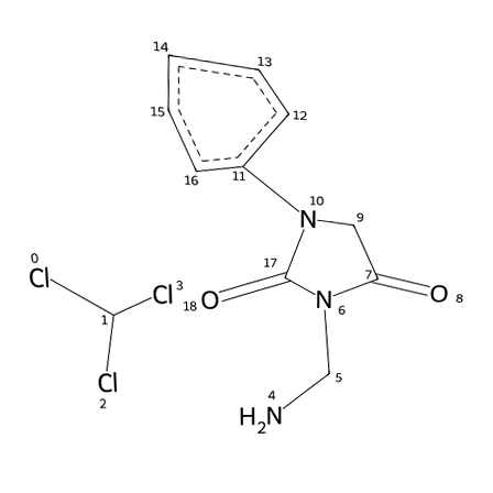 ClC(Cl)Cl.NCN1C(=O)CN(c2ccccc2)C1=O